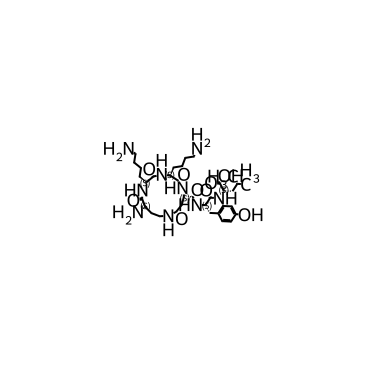 CC(C)C[C@H](NC(=O)[C@H](Cc1ccc(O)cc1)NC(=O)[C@@H]1CC(=O)NCC[C@H](N)C(=O)N[C@@H](CCCCN)C(=O)N[C@@H](CCCCN)C(=O)N1)C(=O)O